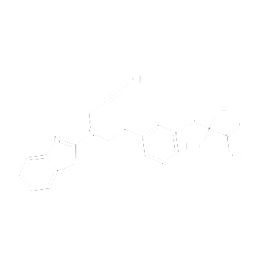 CC#CCN(CCc1cccc(OC(C)(C)C(=O)O)c1)c1nc2ccccc2o1